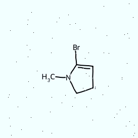 CN1C[C]C=C1Br